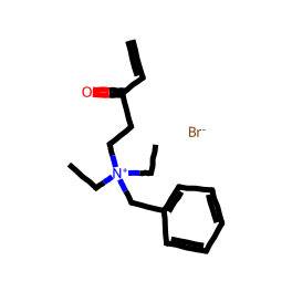 C=CC(=O)CC[N+](CC)(CC)Cc1ccccc1.[Br-]